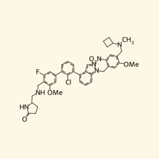 COc1cc(Cn2ncc3c(-c4cccc(-c5cc(F)c(CNCC6CCC(=O)N6)c(OC)c5)c4Cl)cccc32)c([N+](=O)[O-])cc1CN(C)C1CCC1